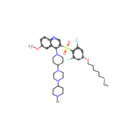 CCCCCCCCCCCCCCCCOc1cc(F)c(S(=O)(=O)c2cnc3ccc(OC(F)(F)F)cc3c2N2CCC(N3CCN(C4CCN(CC)CC4)CC3)CC2)c(F)c1